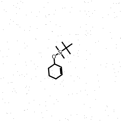 CC(C)(C)[Si](C)(C)OC1C=CCCC1